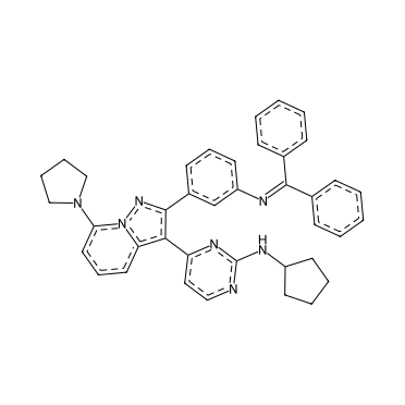 c1ccc(C(=Nc2cccc(-c3nn4c(N5CCCC5)cccc4c3-c3ccnc(NC4CCCC4)n3)c2)c2ccccc2)cc1